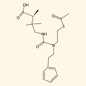 CC(=O)SCCN(CCc1ccccc1)C(=O)NCC(C)(C)[C@H](C)C(=O)O